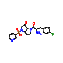 NC(Cc1ccc(F)cc1)C(=O)N1CCC2C1C(=O)CN2S(=O)(=O)c1cccnc1